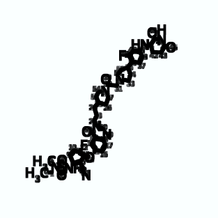 CCN(C)S(=O)(=O)Nc1ccc(F)c(Oc2ccc3ncn(CCCC4CCN(C(=O)CN5CCC(c6ccc(NC7CCC(=O)NC7=O)cc6F)CC5)CC4)c(=O)c3c2)c1C#N